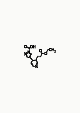 CCOC(=O)C=Cc1cnccc1-c1cnn(C(=O)O)c1